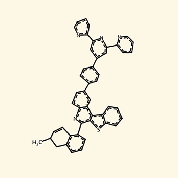 CC1C=Cc2c(cccc2-c2nc3ccc(-c4ccc(-c5cc(-c6ccccn6)nc(-c6ccccn6)c5)cc4)cc3c3c2sc2ccccc23)C1